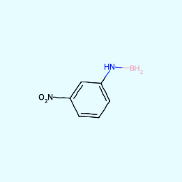 BNc1cccc([N+](=O)[O-])c1